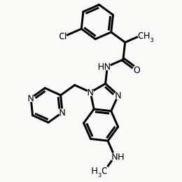 CNc1ccc2c(c1)nc(NC(=O)C(C)c1cccc(Cl)c1)n2Cc1cnccn1